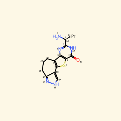 CC(C)[C@H](N)c1nc2c3c(sc2c(=O)[nH]1)-c1c[nH]nc1CCC3